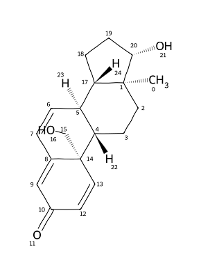 C[C@]12CC[C@H]3[C@@H](C=CC4=CC(=O)C=C[C@@]43CO)[C@@H]1CC[C@@H]2O